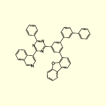 c1ccc(-c2cccc(-c3cc(-c4nc(-c5ccccc5)nc(-c5cncc6ccccc56)n4)cc(-c4cccc5c4oc4ccccc45)c3)c2)cc1